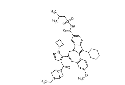 CCN1CC2CC1CN2C(=O)c1cnn(C2CCC2)c1C1=Cc2cc(OC)ccc2-c2c(C3CCCCC3)c3ccc(C(=O)NS(=O)(=O)CC(C)C)cc3n2C1